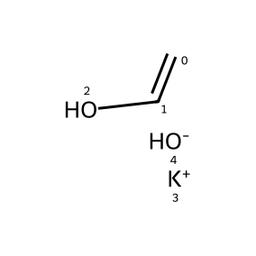 C=CO.[K+].[OH-]